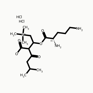 CC(C)CC(=O)C(C(=O)[O-])C(C[N+](C)(C)C)OC(=O)[C@@H](N)CCCN.Cl.Cl